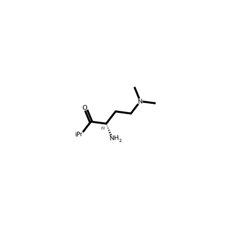 CC(C)C(=O)[C@@H](N)CCN(C)C